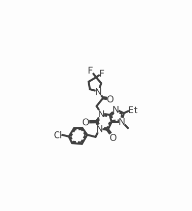 CCc1nc2c(c(=O)n(Cc3ccc(Cl)cc3)c(=O)n2CC(=O)N2CCC(F)(F)C2)n1C